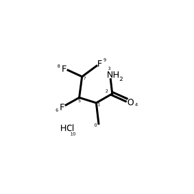 CC(C(N)=O)C(F)C(F)F.Cl